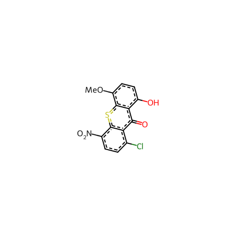 COc1ccc(O)c2c(=O)c3c(Cl)ccc([N+](=O)[O-])c3sc12